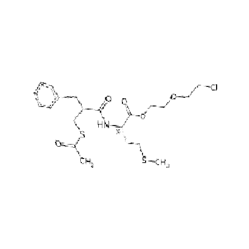 CSCC[C@H](NC(=O)C(CSC(C)=O)Cc1ccccc1)C(=O)OCCOCCCl